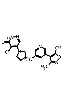 Cc1noc(C)c1-c1cncc(O[C@@H]2CCN(c3cn[nH]c(=O)c3Cl)C2)c1